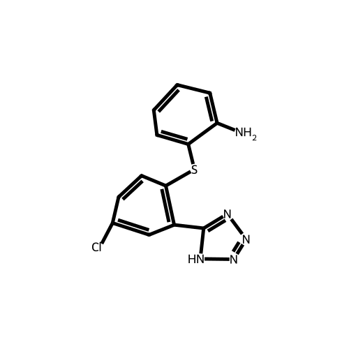 Nc1ccccc1Sc1ccc(Cl)cc1-c1nnn[nH]1